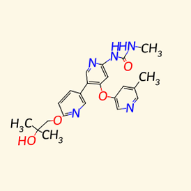 CNC(=O)Nc1cc(Oc2cncc(C)c2)c(-c2ccc(OCC(C)(C)O)nc2)cn1